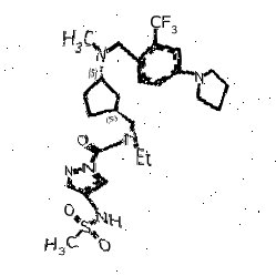 CCN(C[C@H]1CC[C@H](N(C)Cc2ccc(N3CCCC3)cc2C(F)(F)F)C1)C(=O)n1cc(NS(C)(=O)=O)cn1